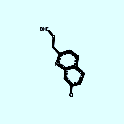 O=COCc1ccc2ccc(Cl)cc2n1